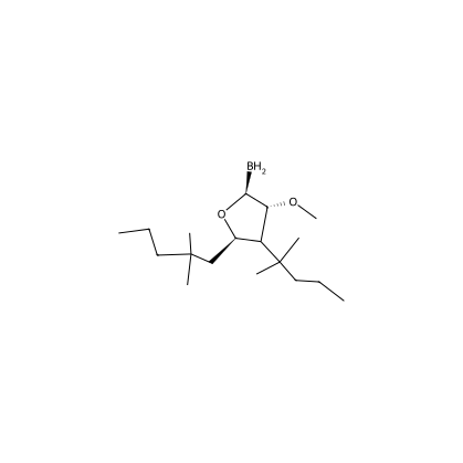 B[C@@H]1O[C@H](CC(C)(C)CCC)C(C(C)(C)CCC)[C@H]1OC